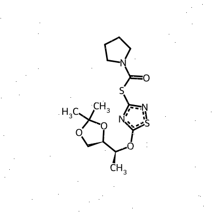 C[C@H](Oc1nc(SC(=O)N2CCCC2)ns1)[C@H]1COC(C)(C)O1